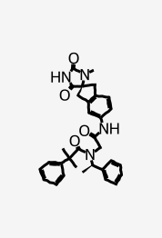 C[C@H](c1ccccc1)N(CC(=O)Nc1ccc2c(c1)C[C@@]1(C2)C(=O)NC(=O)N1C)C(=O)C(C)(C)c1ccccc1